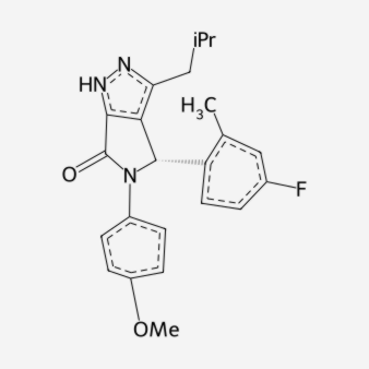 COc1ccc(N2C(=O)c3[nH]nc(CC(C)C)c3[C@@H]2c2ccc(F)cc2C)cc1